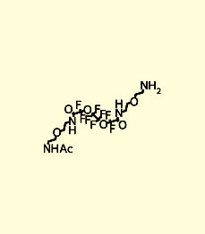 CC(=O)NCCOCCNC(=O)C(F)(F)OC(F)(F)C(F)(F)OC(F)(F)C(=O)NCCOCCN